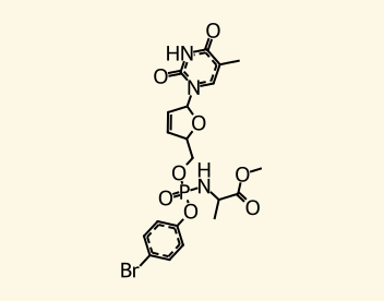 COC(=O)C(C)NP(=O)(OCC1C=CC(n2cc(C)c(=O)[nH]c2=O)O1)Oc1ccc(Br)cc1